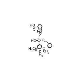 COc1cc([C@H]2C(OCCc3ccccc3)[C@@H](CCn3cc4cccc(C(=O)O)c4n3)[C@@H]2O)cc(OC)c1C